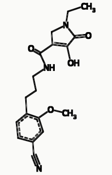 CCN1CC(C(=O)NCCCc2ccc(C#N)cc2OC)=C(O)C1=O